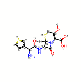 COC1=C(C(=O)O)N2C(=O)[C@@H](NC(=O)C(N)c3ccsc3)[C@@H]2SC1